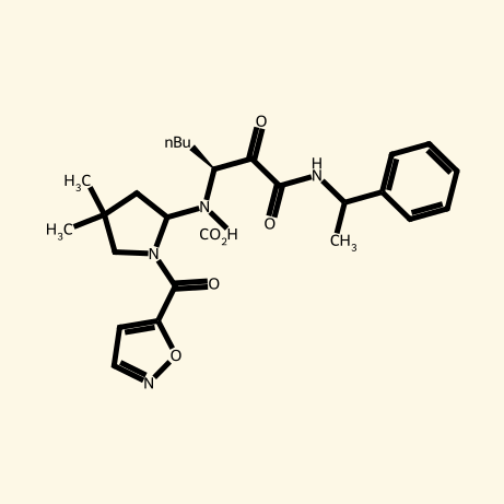 CCCC[C@@H](C(=O)C(=O)NC(C)c1ccccc1)N(C(=O)O)C1CC(C)(C)CN1C(=O)c1ccno1